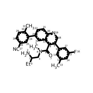 CCC(N)CN(C)C(=O)c1c(-c2cc(C)cc(F)c2)cnc2ccc(-c3cc(C#N)ccc3C)cc12